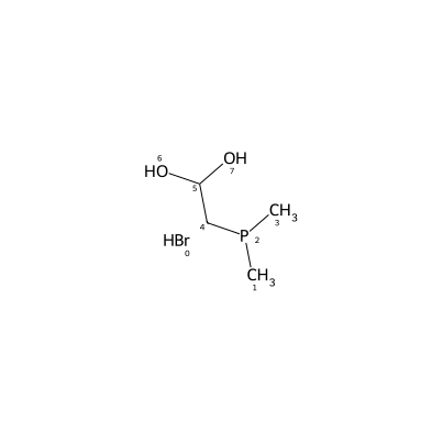 Br.CP(C)CC(O)O